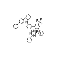 FC(F)(F)c1cc(-c2cc(-n3c4ccccc4c4ccc(-c5ccccc5)cc43)ccc2-c2nc(-c3ccccc3)nc(-c3ccccc3)n2)cc(C(F)(F)F)c1